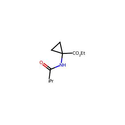 CCOC(=O)C1(NC(=O)C(C)C)CC1